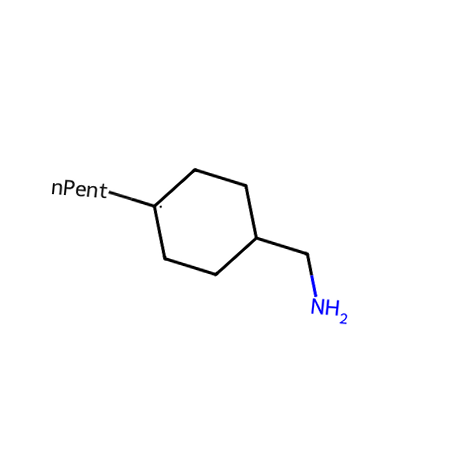 CCCCC[C]1CCC(CN)CC1